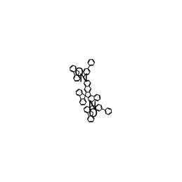 c1ccc(-c2ccc(N(c3ccc4cc5c(cc4c3)C3(c4ccccc4-c4ccccc43)c3cc(N(c4ccc(-c6ccccc6)cc4)c4cccc6c4oc4ccccc46)c4ccccc4c3-5)c3cccc4c3oc3ccccc34)cc2)cc1